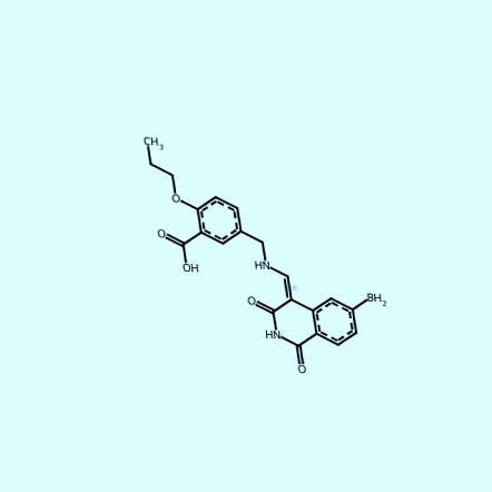 Bc1ccc2c(c1)/C(=C/NCc1ccc(OCCC)c(C(=O)O)c1)C(=O)NC2=O